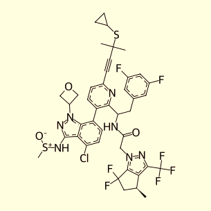 C[C@H]1CC(F)(F)c2c1c(C(F)(F)F)nn2CC(=O)NC(Cc1cc(F)cc(F)c1)c1nc(C#CC(C)(C)SC2CC2)ccc1-c1ccc(Cl)c2c(N[S+](C)[O-])nn(C3COC3)c12